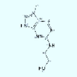 Cc1n[nH]c2nc(NCCO)ncc12